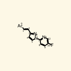 CC(=O)/C=C/c1ccn(-c2ccc(F)cn2)n1